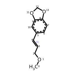 COC/C=C/c1ccc2c(c1)OCO2